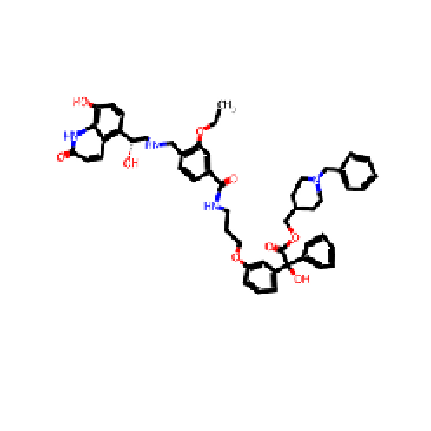 CCOc1cc(C(=O)NCCCOc2cccc(C(O)(C(=O)OCC3CCN(Cc4ccccc4)CC3)c3ccccc3)c2)ccc1CNC[C@H](O)c1ccc(O)c2[nH]c(=O)ccc12